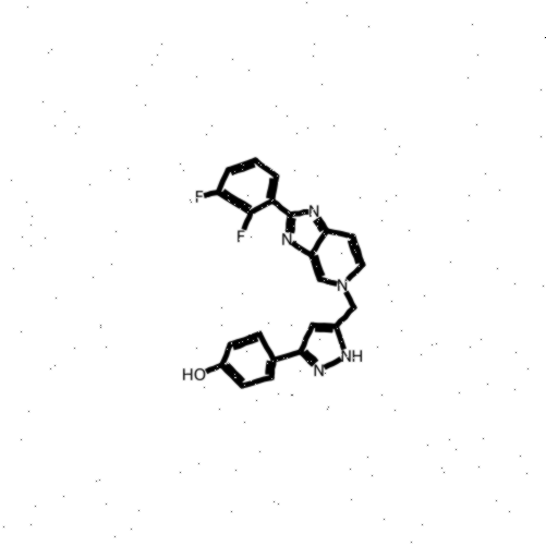 Oc1ccc(-c2cc(Cn3ccc4nc(-c5cccc(F)c5F)nc-4c3)[nH]n2)cc1